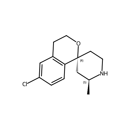 C[C@H]1C[C@@]2(CCN1)OCCc1cc(Cl)ccc12